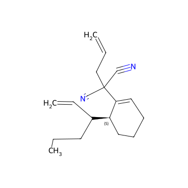 C=CCC(C#N)(C#N)C1=CCCC[C@H]1C(C=C)CCC